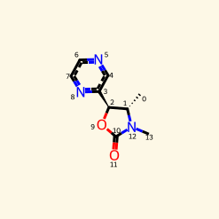 C[C@H]1[C@H](c2cnccn2)OC(=O)N1C